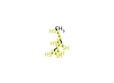 CC(S)SCSCSC(CC(SCS)SCSC(CC(SCS)SCS)SCS)SCS